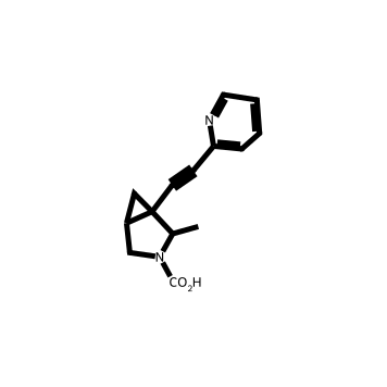 CC1N(C(=O)O)CC2CC21C#Cc1ccccn1